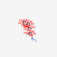 NCCO[C@H]1OC(CO)[C@H](O[C@H]2OC(CO)[C@@H](O[C@@H]3OC(CO)[C@@H](O[C@@H]4OC(C(=O)O)[C@@H](O)C(O)C4O)C(O)C3O)C(O)[C@H]2O)C(O)C1O